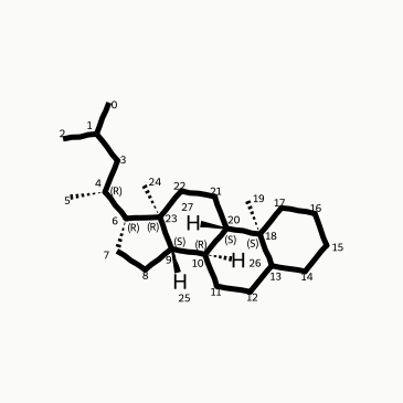 CC(C)C[C@@H](C)[C@H]1CC[C@H]2[C@@H]3CCC4CCCC[C@]4(C)[C@H]3CC[C@]12C